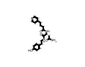 NC(=O)C[C@@H](NC(=O)CCCc1ccncc1)C(=O)NCCc1ccc(O)cc1